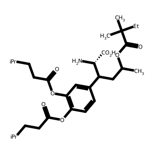 CCC(C)(C)C(=O)OC(C)CC(c1ccc(OC(=O)CCC(C)C)c(OC(=O)CCC(C)C)c1)[C@H](N)C(=O)O